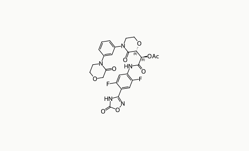 CC(=O)O[C@@H](C(=O)Nc1cc(F)c(-c2noc(=O)[nH]2)cc1F)[C@H]1OCCN(c2cccc(N3CCOCC3=O)c2)C1=O